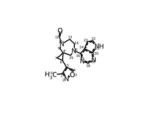 Cc1nocc1C1CC12CN(C=O)CCN(c1ncnc3[nH]ccc13)C2